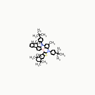 Cc1cc2c3c(c1)N(c1ccc(C(C)(C)C)cc1)c1c(ccc4c1C(C)(C)c1ccccc1-4)B3c1c(sc3cc4c(cc13)C(C)(C)CCC4(C)C)N2c1ccc(C(C)(C)C)cc1